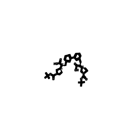 CC(C)(C)OC(=O)N1CC[C@@H]([C@@H](Cc2cccc(-c3cccc(C[C@@H](C(=O)O)[C@@H]4CCN(C(=O)OC(C)(C)C)C4)c3)c2)C(=O)O)C1